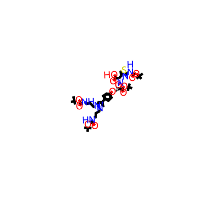 CC(C)(C)OC(=O)NCCCn1cc(-c2ccc(OC[C@H](O/N=C(\C(=O)O)c3csc(NC(=O)OC(C)(C)C)n3)C(=O)OC(C)(C)C)cc2)c[n+]1CCCNC(=O)OC(C)(C)C